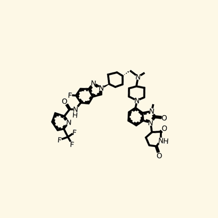 CN(C[C@H]1CC[C@H](n2cc3cc(NC(=O)c4cccc(C(F)(F)F)n4)c(F)cc3n2)CC1)C1CCN(c2cccc3c2n(C)c(=O)n3C2CCC(=O)NC2=O)CC1